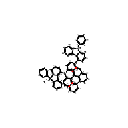 CC1(c2ccccc2)c2ccccc2-c2c(N(c3ccc(-c4cccc5c4c4ccccc4n5-c4ccccc4)cc3)c3ccccc3-c3cccc4cccc(-c5ccccc5)c34)cccc21